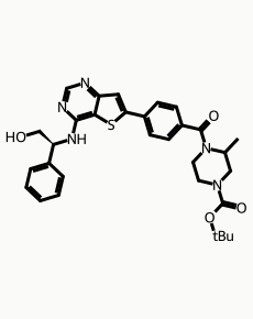 CC1CN(C(=O)OC(C)(C)C)CCN1C(=O)c1ccc(-c2cc3ncnc(N[C@H](CO)c4ccccc4)c3s2)cc1